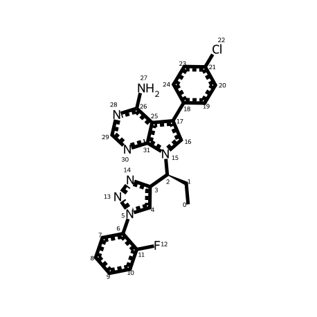 CC[C@@H](c1cn(-c2ccccc2F)nn1)n1cc(-c2ccc(Cl)cc2)c2c(N)ncnc21